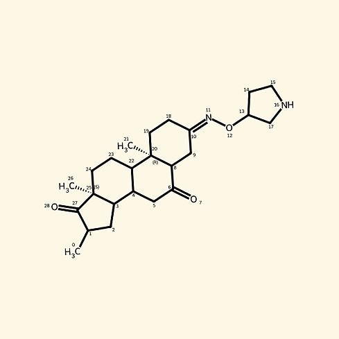 CC1CC2C3CC(=O)C4CC(=NOC5CCNC5)CC[C@]4(C)C3CC[C@]2(C)C1=O